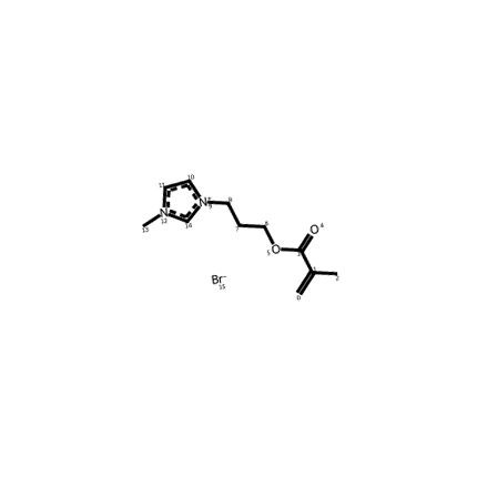 C=C(C)C(=O)OCCC[n+]1ccn(C)c1.[Br-]